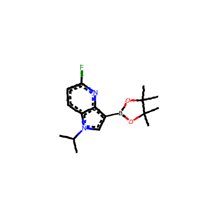 CC(C)n1cc(B2OC(C)(C)C(C)(C)O2)c2nc(F)ccc21